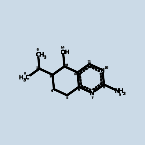 CC(C)C1CCc2nc(N)ncc2C1O